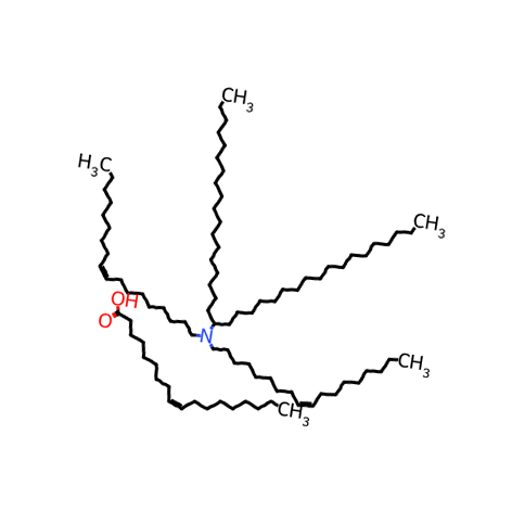 CCCCCCCC/C=C\CCCCCCCC(=O)O.CCCCCCCC/C=C\CCCCCCCCN(CCCCCCCC/C=C\CCCCCCCC)C(CCCCCCCCCCCCCCCCCC)CCCCCCCCCCCCCCCCCC